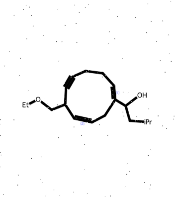 CCOCC1C#CCC/C=C(/C(O)CC(C)C)C/C=C\1